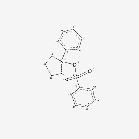 O=S(=O)(OS1(c2ccccc2)CCCC1)c1ccccc1